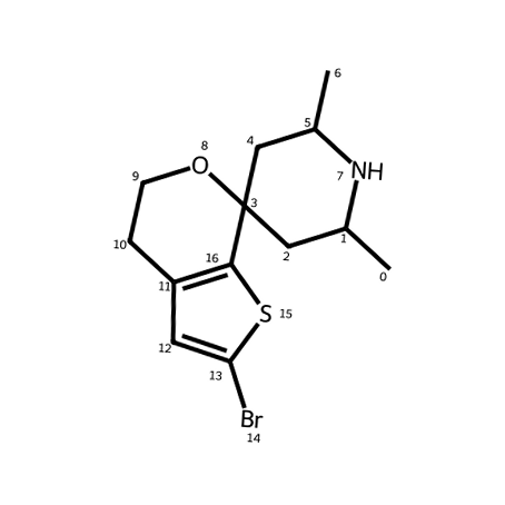 CC1CC2(CC(C)N1)OCCc1cc(Br)sc12